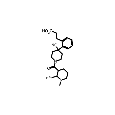 CCCC1C(C(=O)N2CCC(C#N)(c3ccccc3CCC(=O)O)CC2)CCCN1C